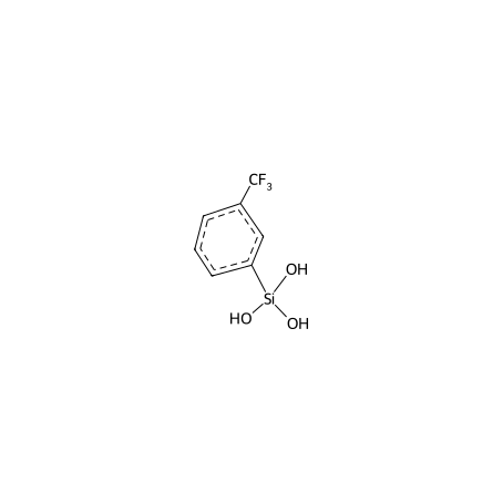 O[Si](O)(O)c1cccc(C(F)(F)F)c1